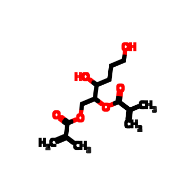 C=C(C)C(=O)OCC(OC(=O)C(=C)C)C(O)CCCO